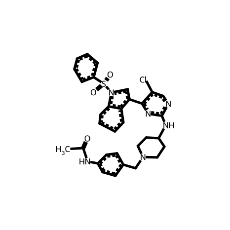 CC(=O)Nc1ccc(CN2CCC(Nc3ncc(Cl)c(-c4cn(S(=O)(=O)c5ccccc5)c5ccccc45)n3)CC2)cc1